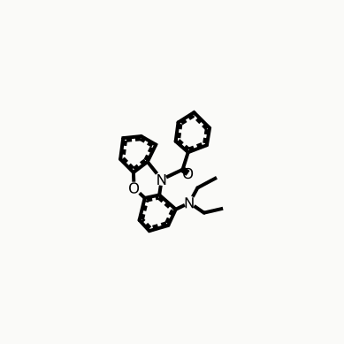 CCN(CC)c1cccc2c1N(C(=O)c1ccccc1)c1ccccc1O2